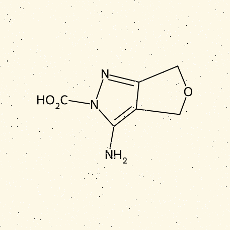 Nc1c2c(nn1C(=O)O)COC2